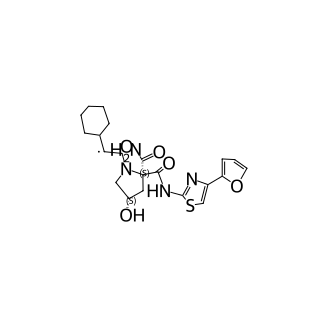 NC(=O)[C@]1(C(=O)Nc2nc(-c3ccco3)cs2)C[C@H](O)CN1C(=O)[CH]C1CCCCC1